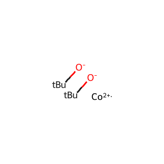 CC(C)(C)[O-].CC(C)(C)[O-].[Co+2]